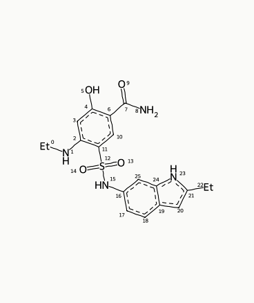 CCNc1cc(O)c(C(N)=O)cc1S(=O)(=O)Nc1ccc2cc(CC)[nH]c2c1